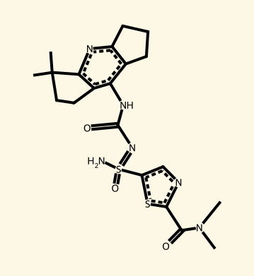 CN(C)C(=O)c1ncc(S(N)(=O)=NC(=O)Nc2c3c(nc4c2CCC4(C)C)CCC3)s1